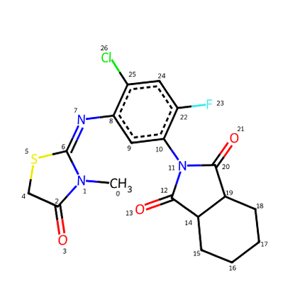 CN1C(=O)CSC1=Nc1cc(N2C(=O)C3CCCCC3C2=O)c(F)cc1Cl